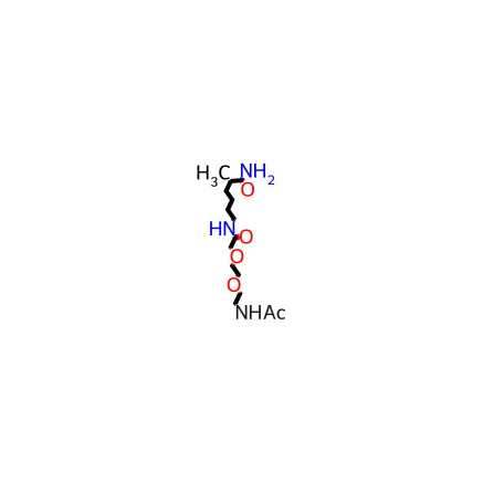 CC(=O)NCCOCCOCC(=O)NCCCCC(C)C(N)=O